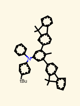 Cc1c(-c2ccc3c(c2)C(C)(C)c2ccccc2-3)cc(N(c2ccccc2)c2ccc(C(C)(C)C)cc2)cc1-c1ccc2c(c1)C(C)(C)c1ccccc1-2